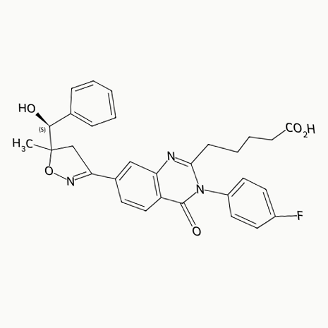 CC1([C@@H](O)c2ccccc2)CC(c2ccc3c(=O)n(-c4ccc(F)cc4)c(CCCCC(=O)O)nc3c2)=NO1